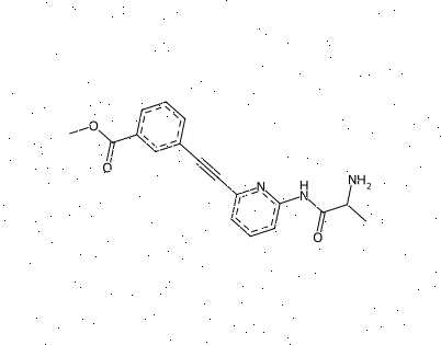 COC(=O)c1cccc(C#Cc2cccc(NC(=O)C(C)N)n2)c1